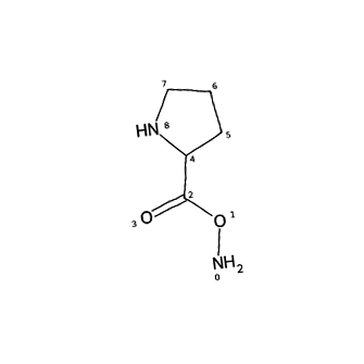 NOC(=O)C1CCCN1